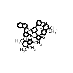 Cc1cc2c(cc1N1B3c4c(cc(-c5ccccc5)cc4-n4c5ccc6ccccc6c5c5cccc3c54)-c3c1ccc1sc4cc5c(cc4c31)C(C)(C)CCC5(C)C)C(C)(C)CCC2(C)C